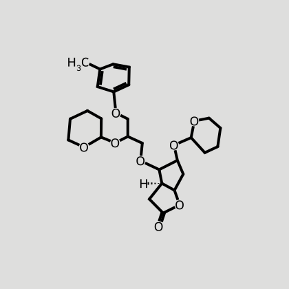 Cc1cccc(OCC(COC2C(OC3CCCCO3)CC3OC(=O)C[C@H]32)OC2CCCCO2)c1